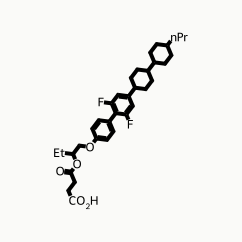 CCCC1CCC(C2CCC(c3cc(F)c(-c4ccc(OCC(CC)OC(=O)CCC(=O)O)cc4)c(F)c3)CC2)CC1